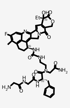 CC[C@@]1(O)C(=O)OCc2c1cc1n(c2=O)Cc2c-1nc1cc(F)c(C)c3c1c2[C@@H](NC(=O)NCCN(CC(N)=O)C(=O)[C@H](Cc1ccccc1)NC(=O)CNC(=O)CN)CC3